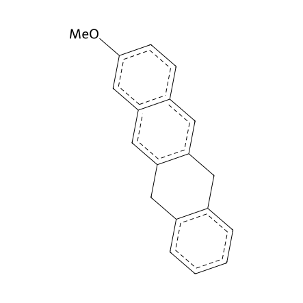 COc1ccc2cc3c(cc2c1)Cc1ccccc1C3